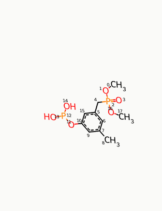 COP(=O)(Cc1cc(C)cc(OP(O)O)c1)OC